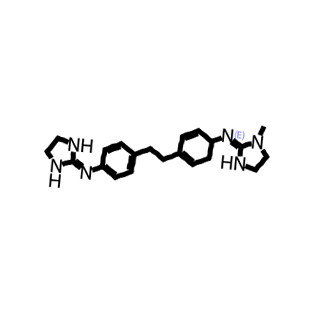 CN1CCN/C1=N\C1C=CC(CCc2ccc(N=C3NCCN3)cc2)=CC1